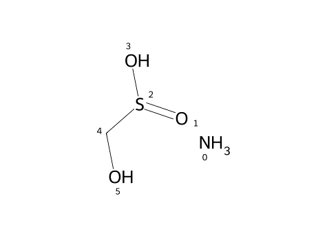 N.O=S(O)CO